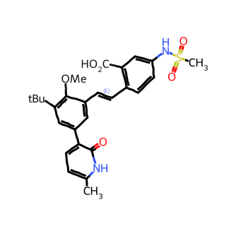 COc1c(/C=C/c2ccc(NS(C)(=O)=O)cc2C(=O)O)cc(-c2ccc(C)[nH]c2=O)cc1C(C)(C)C